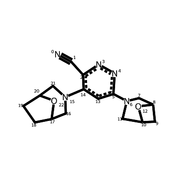 N#Cc1nnc(N2CC3CC(C2)O3)cc1N1CC2CCC(C1)O2